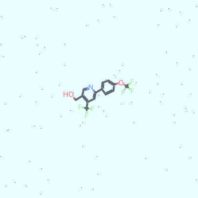 OCc1cnc(-c2ccc(OC(F)(F)F)cc2)cc1C(F)(F)F